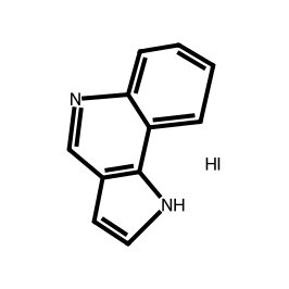 I.c1ccc2c(c1)ncc1cc[nH]c12